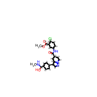 CNC(O)c1ccc(-c2cnn3ccc(C(=O)Nc4ccc(Cl)c(C(=O)OC)c4)cc23)cc1